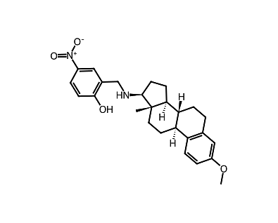 COc1ccc2c(c1)CC[C@@H]1[C@@H]2CC[C@]2(C)[C@@H](NCc3cc([N+](=O)[O-])ccc3O)CC[C@@H]12